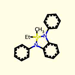 CCS1(C)N(c2ccccc2)c2ccccc2N1c1ccccc1